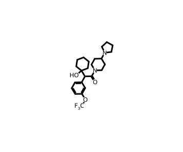 O=C(C(c1cccc(OC(F)(F)F)c1)C1(O)CCCCC1)N1CCC(N2CCCC2)CC1